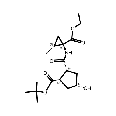 CCOC(=O)[C@@]1(NC(=O)[C@@H]2C[C@H](O)C[C@H]2C(=O)OC(C)(C)C)C[C@H]1C